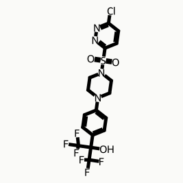 O=S(=O)(c1ccc(Cl)nn1)N1CCN(c2ccc(C(O)(C(F)(F)F)C(F)(F)F)cc2)CC1